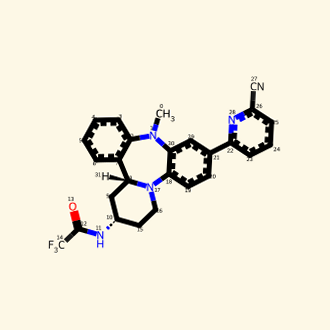 CN1c2ccccc2[C@H]2C[C@@H](NC(=O)C(F)(F)F)CCN2c2ccc(-c3cccc(C#N)n3)cc21